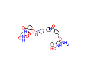 Nc1nnc(-c2ccccc2O)cc1OCCc1ccc(C(=O)N2CCC(C3CCN(C(=O)COc4cccc5c4C(=O)N(C4CCC(=O)NC4=O)C5=O)CC3)CC2)cc1